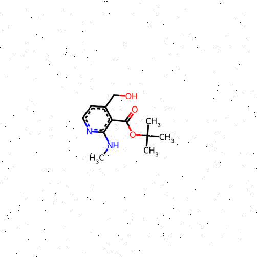 CNc1nccc(CO)c1C(=O)OC(C)(C)C